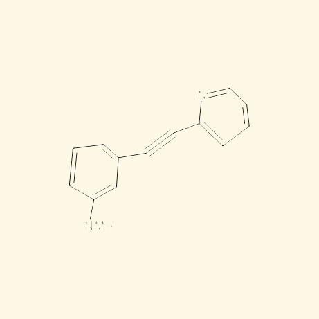 CNc1cccc(C#Cc2ccccn2)c1